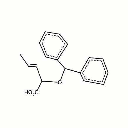 CC=CC(OC(c1ccccc1)c1ccccc1)C(=O)O